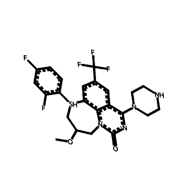 COC1Cn2c(=O)nc(N3CCNCC3)c3cc(C(F)(F)F)cc(c32)[SH](c2ccc(F)cc2F)C1